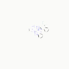 CC(C)CNc1nc2ccccc2n2c(-c3ccccc3C(F)(F)F)cnc12